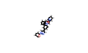 O=C(Cc1ccccc1)N1C2CCC1C(Cn1ccc3cc(-c4cnn(C5CCCCO5)c4)ccc31)C2